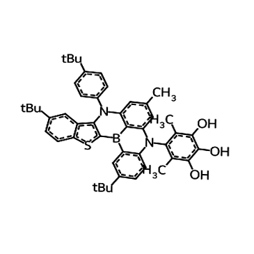 Cc1cc2c3c(c1)N(c1ccc(C(C)(C)C)cc1)c1c(sc4ccc(C(C)(C)C)cc14)B3c1cc(C(C)(C)C)ccc1N2c1c(C)c(O)c(O)c(O)c1C